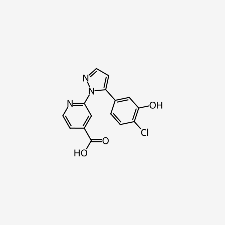 O=C(O)c1ccnc(-n2nccc2-c2ccc(Cl)c(O)c2)c1